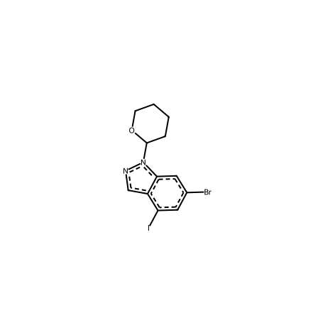 Brc1cc(I)c2cnn(C3CCCCO3)c2c1